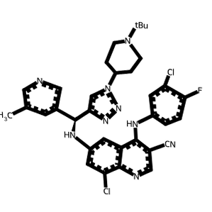 Cc1cncc([C@H](Nc2cc(Cl)c3ncc(C#N)c(Nc4ccc(F)c(Cl)c4)c3c2)c2cn(C3CCN(C(C)(C)C)CC3)nn2)c1